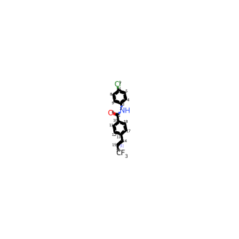 O=C(Nc1ccc(Cl)cc1)c1ccc(/C=C/C(F)(F)F)cc1